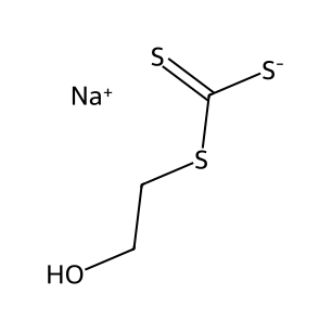 OCCSC(=S)[S-].[Na+]